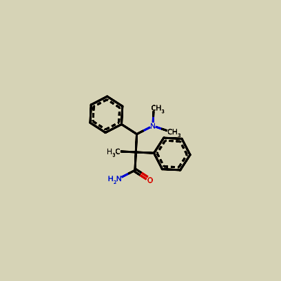 CN(C)C(c1ccccc1)C(C)(C(N)=O)c1ccccc1